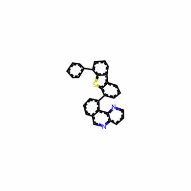 c1ccc(-c2cccc3c2sc2c(-c4cccc5cnc6cccnc6c45)cccc23)cc1